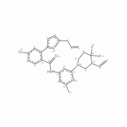 C=CCc1ccc(-c2cc(Cl)ccc2C(=O)Nc2cc(C)nc(N3CCC(F)(F)C(C=C)C3)n2)s1